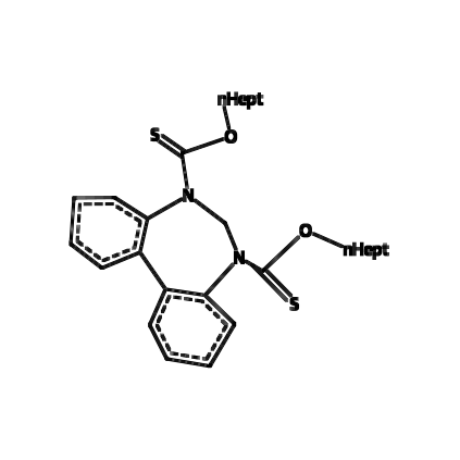 CCCCCCCOC(=S)N1CN(C(=S)OCCCCCCC)c2ccccc2-c2ccccc21